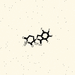 CC1(N2Cc3c(F)c(F)c(F)c(F)c3C2=O)CCC(=O)[NH+]([O-])C1=O